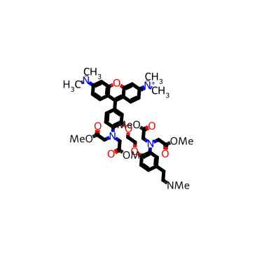 CNCCc1ccc(OCCOc2cc(-c3c4ccc(=[N+](C)C)cc-4oc4cc(N(C)C)ccc34)ccc2N(CC(=O)OC)CC(=O)OC)c(N(CC(=O)OC)CC(=O)OC)c1